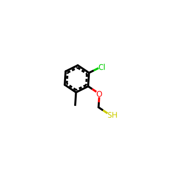 Cc1cccc(Cl)c1OCS